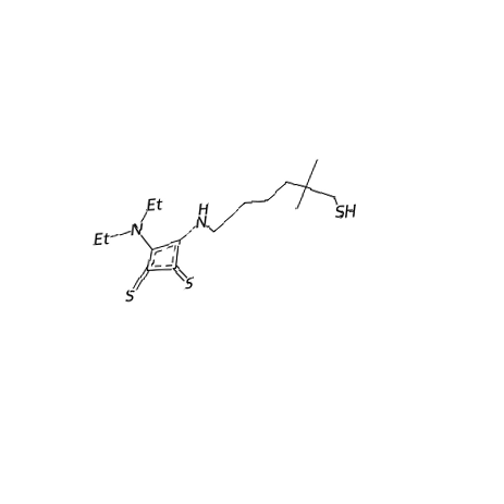 CCN(CC)c1c(NCCCCC(C)(C)CS)c(=S)c1=S